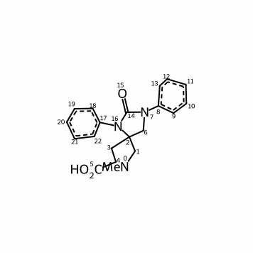 CNCC1(CCC(=O)O)CN(c2ccccc2)C(=O)N1c1ccccc1